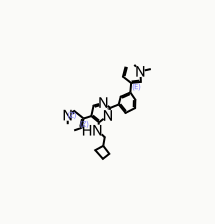 C=C/C(=C\N(C)C)c1cccc(-c2ncc(C(/C=N\C)=C/C)c(NCC3CCC3)n2)c1